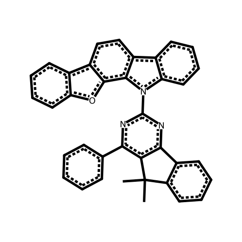 CC1(C)c2ccccc2-c2nc(-n3c4ccccc4c4ccc5c6ccccc6oc5c43)nc(-c3ccccc3)c21